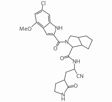 COc1cc(Cl)cc2[nH]c(C(=O)N3CC4CCCC4C3C(=O)NC(C#N)CC3CCNC3=O)cc12